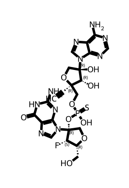 C#C[C@]1(COP(O)(=S)O[C@]2(n3cnc4c(=O)[nH]c(N)nc43)CO[C@H](CO)[C@@H]2F)OC[C@](O)(n2cnc3c(N)ncnc32)[C@@H]1O